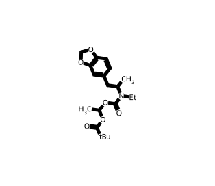 CCN(C(=O)OC(C)OC(=O)C(C)(C)C)C(C)Cc1ccc2c(c1)OCO2